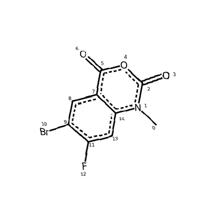 Cn1c(=O)oc(=O)c2cc(Br)c(F)cc21